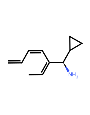 C=C/C=C\C(=C/C)[C@H](N)C1CC1